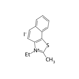 CC[n+]1c(C)sc2c3ccccc3ccc21.[I-]